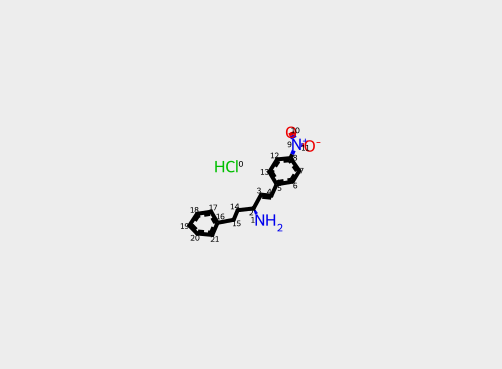 Cl.N[C@H](C=Cc1ccc([N+](=O)[O-])cc1)CCc1ccccc1